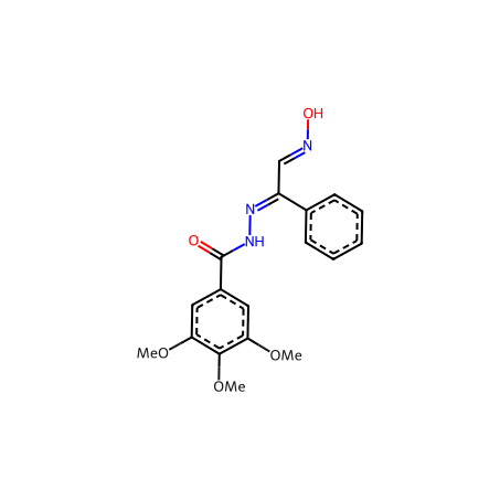 COc1cc(C(=O)NN=C(C=NO)c2ccccc2)cc(OC)c1OC